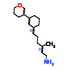 C/C(=C\CN)CC/C=C1/C=C(C2=COCCC2)CCC1